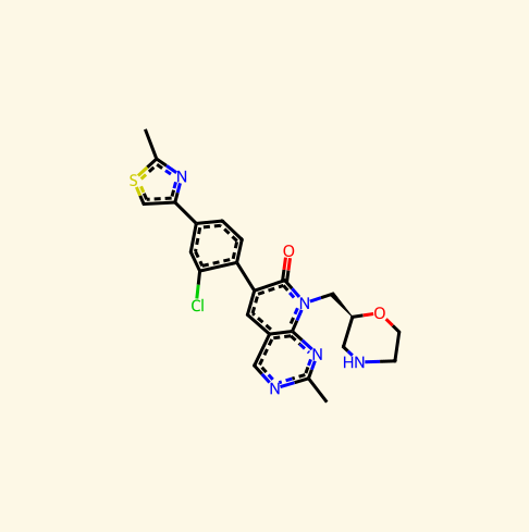 Cc1ncc2cc(-c3ccc(-c4csc(C)n4)cc3Cl)c(=O)n(C[C@@H]3CNCCO3)c2n1